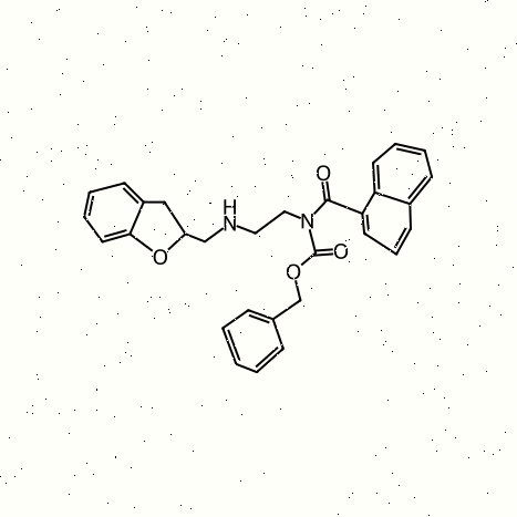 O=C(OCc1ccccc1)N(CCNCC1Cc2ccccc2O1)C(=O)c1cccc2ccccc12